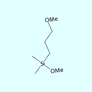 [CH2]OCCC[Si](C)(C)OC